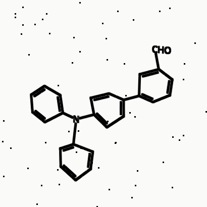 O=Cc1cccc(-c2ccc(N(c3ccccc3)c3ccccc3)cc2)c1